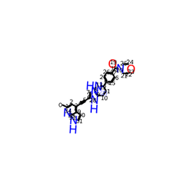 Cc1cc(C#Cc2cnc(/C=C\C(=N)c3ccc(C(=O)N4CCOCC4)cc3)[nH]2)c2cc[nH]c2n1